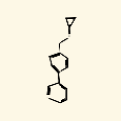 c1cncc(-c2ccc(CNC3CC3)cc2)c1